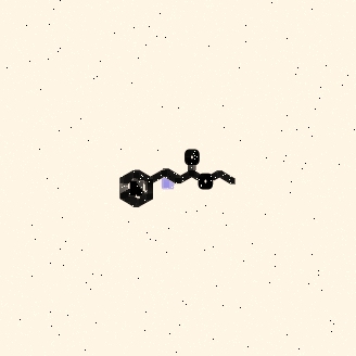 CCOC(=O)/C=C/c1ccc2cc1N2C